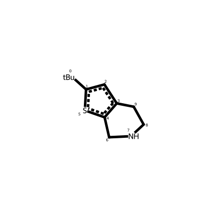 CC(C)(C)c1cc2c(s1)CNCC2